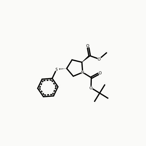 COC(=O)[C@@H]1C[C@@H](Sc2ccccc2)CN1C(=O)OC(C)(C)C